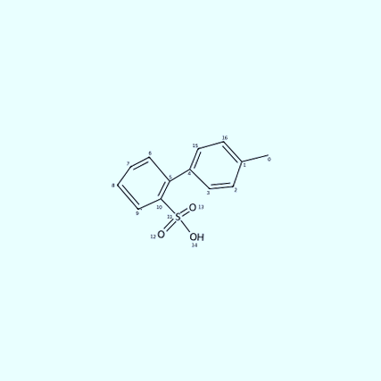 Cc1ccc(-c2ccc[c]c2S(=O)(=O)O)cc1